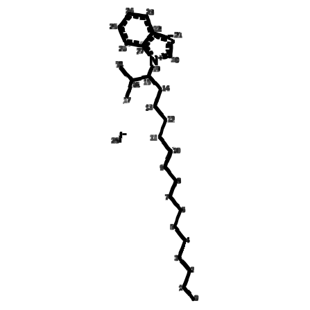 CCCCCCCCCCCCCCCC(C(C)C)[n+]1csc2ccccc21.[I-]